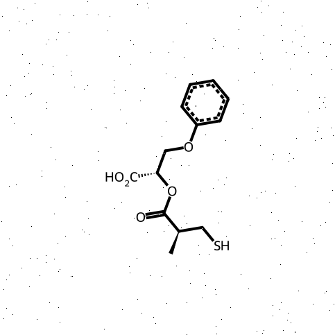 C[C@H](CS)C(=O)O[C@@H](COc1ccccc1)C(=O)O